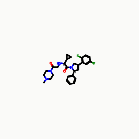 CN1CCN(C(=O)CN[C@H](C(=O)N2CC(c3cc(F)ccc3F)=C[C@H]2c2ccccc2)C2CC2)CC1